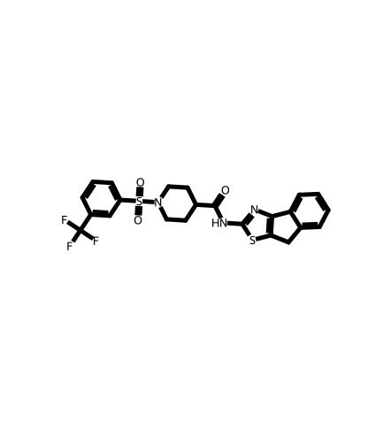 O=C(Nc1nc2c(s1)Cc1ccccc1-2)C1CCN(S(=O)(=O)c2cccc(C(F)(F)F)c2)CC1